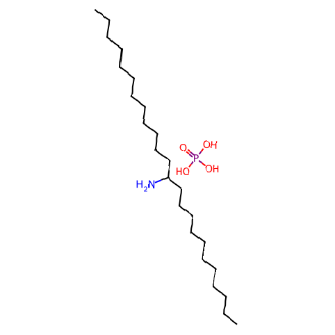 CCCCCCCCCCCCC(N)CCCCCCCCCCC.O=P(O)(O)O